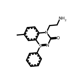 Cc1ccc2c(c1)S(c1ccccc1)=NC(=O)N2CCN